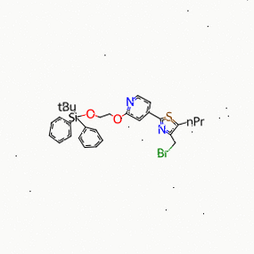 CCCc1sc(-c2ccnc(OCCO[Si](c3ccccc3)(c3ccccc3)C(C)(C)C)c2)nc1CBr